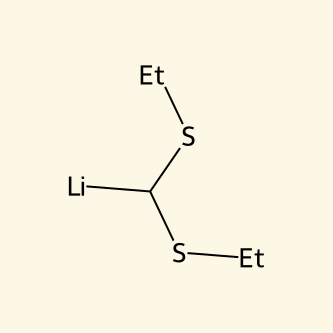 [Li][CH](SCC)SCC